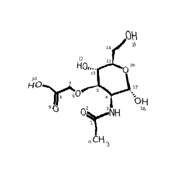 CC(=O)N[C@H]1[C@@H](OCC(=O)O)[C@H](O)[C@@H](CO)O[C@@H]1O